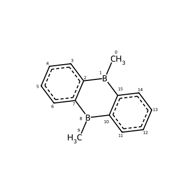 CB1c2ccccc2B(C)c2ccccc21